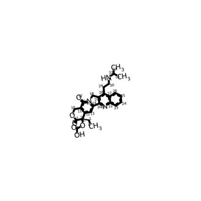 CC[C@@]1(OC(=O)O)C(=O)OCc2c1cc1n(c2=O)Cc2c-1nc1ccccc1c2CCNC(C)C